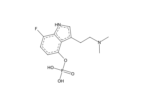 CN(C)CCc1c[nH]c2c(F)ccc(OP(=O)(O)O)c12